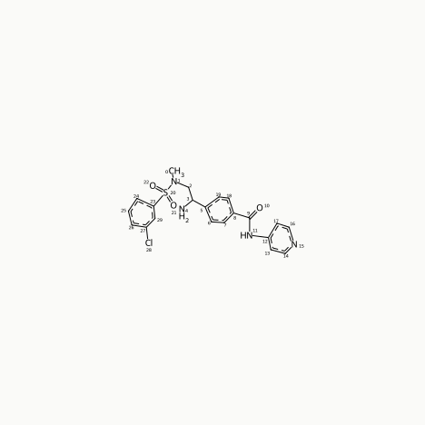 CN(CC(N)c1ccc(C(=O)Nc2ccncc2)cc1)S(=O)(=O)c1cccc(Cl)c1